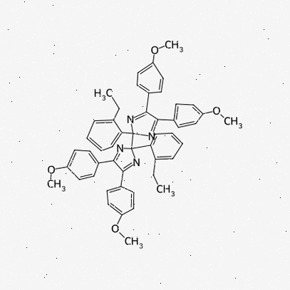 CCc1ccccc1C1(C2(c3ccccc3CC)N=C(c3ccc(OC)cc3)C(c3ccc(OC)cc3)=N2)N=C(c2ccc(OC)cc2)C(c2ccc(OC)cc2)=N1